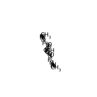 Cn1nnc(-c2ccc(-c3ccc(N4C[C@H](COOP(=O)(O)OC[C@H]5CN(c6ccc(-c7ccc(-c8nnn(C)n8)nc7)c(F)c6)C(=O)O5)OC4=O)cc3F)cn2)n1